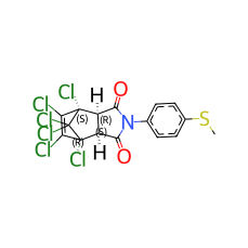 CSc1ccc(N2C(=O)[C@@H]3[C@H](C2=O)[C@]2(Cl)C(Cl)=C(Cl)[C@@]3(Cl)C2(Cl)Cl)cc1